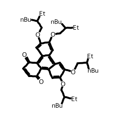 CCCCC(CC)COc1cc2c3c(c4cc(OCC(CC)CCCC)c(OCC(CC)CCCC)cc4c2cc1OCC(CC)CCCC)C(=O)C=CC3=O